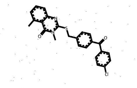 Cc1cccc2nc(SCc3ccc(C(=O)c4ccc(Cl)cc4)cc3)n(C)c(=O)c12